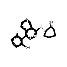 Oc1cccc(F)c1-c1nnc(N[C@H]2CCCC[C@@H]2O)c2cnccc12